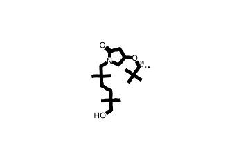 C[C@@H](OC1CC(=O)N(CC(C)(C)CCC(C)(C)CO)C1)C(C)(C)C